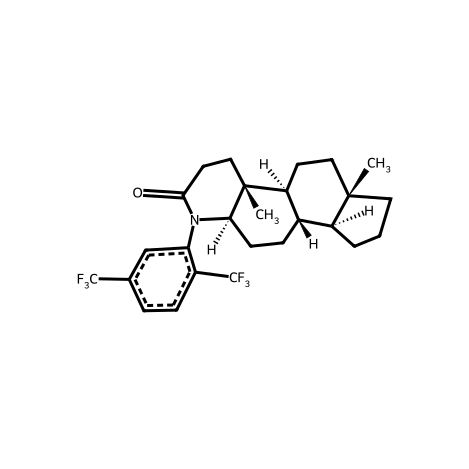 C[C@@]12CCC[C@H]1[C@@H]1CC[C@H]3N(c4cc(C(F)(F)F)ccc4C(F)(F)F)C(=O)CC[C@]3(C)[C@H]1CC2